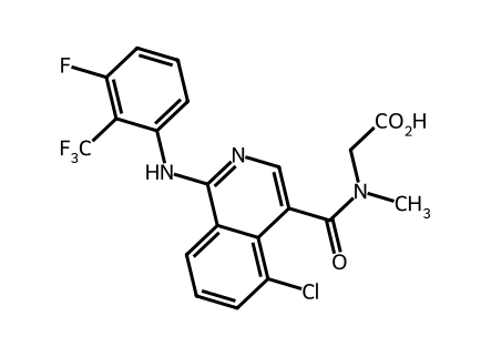 CN(CC(=O)O)C(=O)c1cnc(Nc2cccc(F)c2C(F)(F)F)c2cccc(Cl)c12